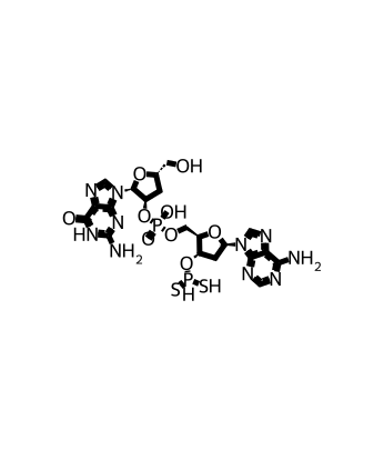 Nc1nc2c(ncn2[C@@H]2O[C@H](CO)C[C@H]2OP(=O)(O)OC[C@H]2O[C@@H](n3cnc4c(N)ncnc43)C[C@@H]2O[PH](=S)S)c(=O)[nH]1